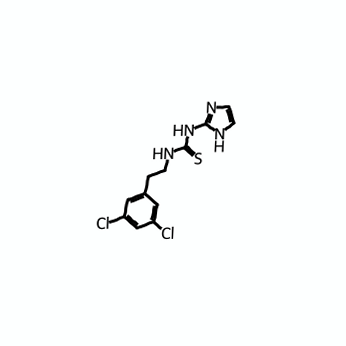 S=C(NCCc1cc(Cl)cc(Cl)c1)Nc1ncc[nH]1